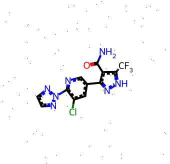 NC(=O)c1c(-c2cnc(-n3nccn3)c(Cl)c2)n[nH]c1C(F)(F)F